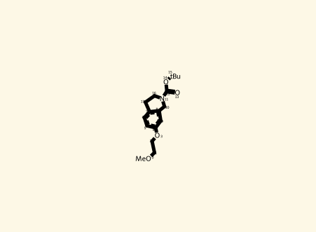 COCCOc1ccc2c(c1)CN(C(=O)OC(C)(C)C)CC2